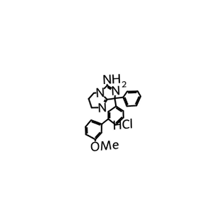 COc1cccc(-c2cccc(C3(c4ccccc4)N=C(N)N4CCCN=C43)c2)c1.Cl